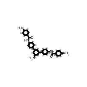 Nc1ccc(C(=O)Nc2ccc(-c3cc(N)cc(-c4ccc(NC(=O)c5ccc(N)cc5)cc4)c3)cc2)cc1